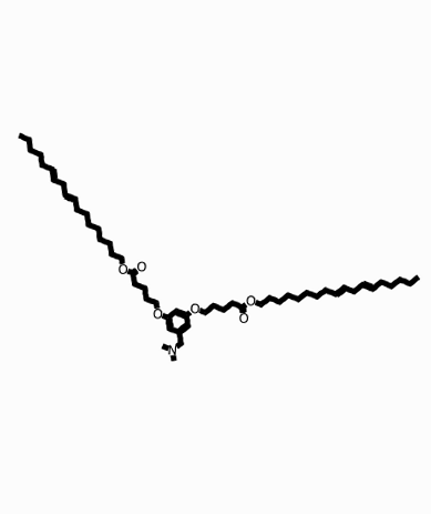 CCCCCC=CCC=CCCCCCCCCOC(=O)CCCCOc1cc(CN(C)C)cc(OCCCCC(=O)OCCCCCCCCC=CCC=CCCCCC)c1